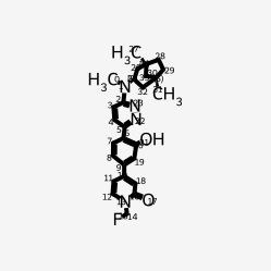 CN(c1ccc(-c2ccc(-c3ccn(CF)c(=O)c3)cc2O)nn1)[C@H]1C[C@]2(C)CC[C@](C)(C1)C2